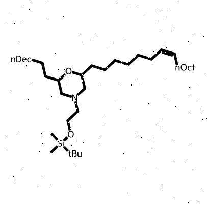 CCCCCCCC/C=C\CCCCCCC1CN(CCO[Si](C)(C)C(C)(C)C)CC(CCCCCCCCCCCC)O1